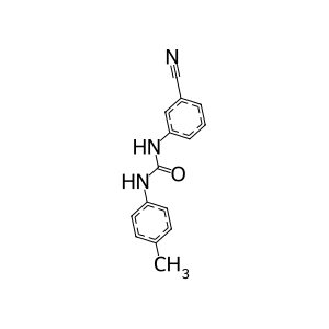 Cc1ccc(NC(=O)Nc2cccc(C#N)c2)cc1